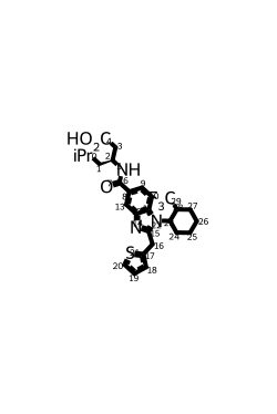 CC(C)C[C@@H](CC(=O)O)NC(=O)c1ccc2c(c1)nc(Cc1cccs1)n2C1CCCCC1C(F)(F)F